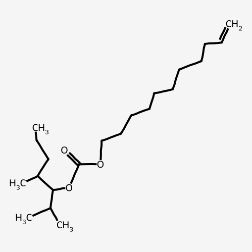 C=CCCCCCCCCCOC(=O)OC(C(C)C)C(C)CCC